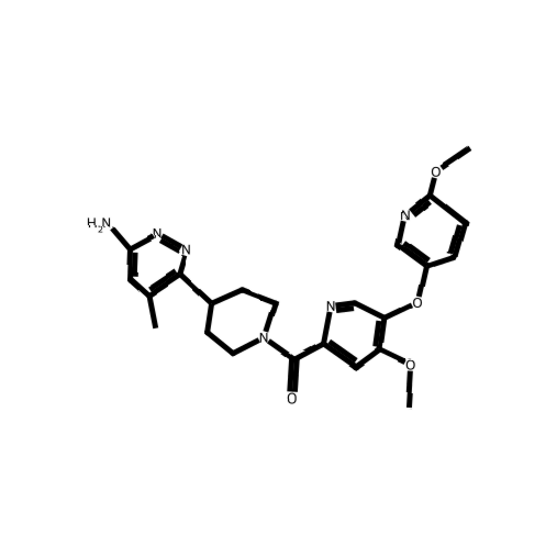 COc1ccc(Oc2cnc(C(=O)N3CCC(c4nnc(N)cc4C)CC3)cc2OC)cn1